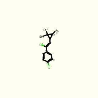 CCC1(CC)C(C=C(Cl)c2ccc(Cl)cc2)C1C(C)=O